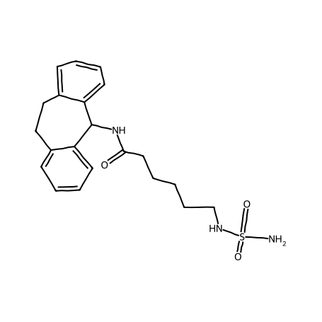 NS(=O)(=O)NCCCCCC(=O)NC1c2ccccc2CCc2ccccc21